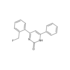 O=c1nc(-c2ccccc2CF)cc(-c2ccccc2)[nH]1